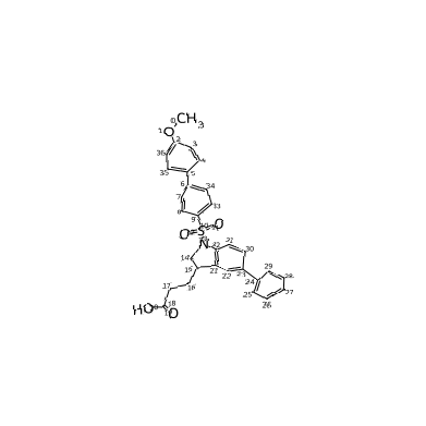 COc1ccc(-c2ccc(S(=O)(=O)N3CC(CCC(=O)O)c4cc(-c5ccccc5)ccc43)cc2)cc1